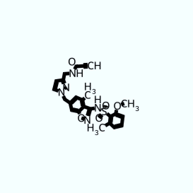 C#CC(=O)NCc1ccn(Cc2cc(C)c3c(NS(=O)(=O)c4c(C)cccc4OC)noc3c2)n1